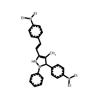 CCN(CC)c1ccc(C=CC2=C(C)C(c3ccc(N(CC)CC)cc3)N(c3ccccc3)N2)cc1